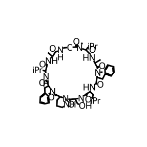 CC(C)CC1NC(=O)C(Cc2ccccc2)N(C)C(=O)C(C)NC(=O)C(C(C)C)N(C)C(=O)CCNC(=O)C(C)NC(=O)C(C(C)C)NC(=O)C(Cc2ccccc2)N(C)C(=O)C2CCCNN2C(=O)C(CO)N(C)C1=O